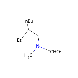 CCCCC(CC)CN(C)[C]=O